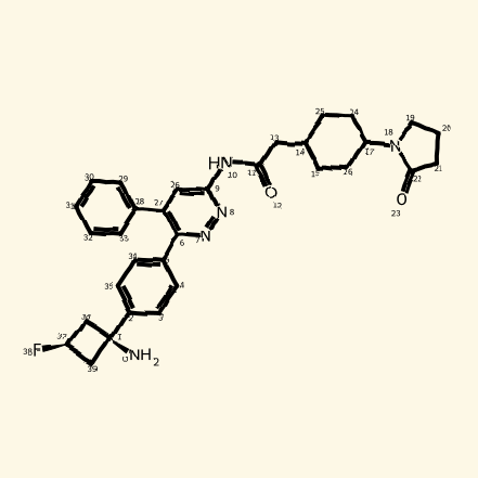 N[C@]1(c2ccc(-c3nnc(NC(=O)CC4CCC(N5CCCC5=O)CC4)cc3-c3ccccc3)cc2)C[C@H](F)C1